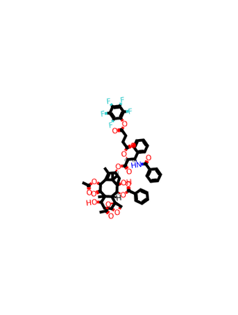 CC(=O)OC1C(=O)C2(C)C(O)CC3OC[C@@]3(OC(C)=O)[C@H]2[C@H](OC(=O)c2ccccc2)C2(O)C[C@H](OC(=O)[C@H](OC(=O)CCC(=O)Oc3c(F)c(F)c(F)c(F)c3F)[C@@H](NC(=O)c3ccccc3)c3ccccc3)C(C)=C1C2(C)C